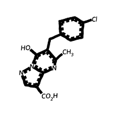 Cc1nc2c(C(=O)O)cnn2c(O)c1Cc1ccc(Cl)cc1